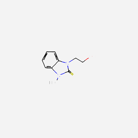 Cn1c(=S)n(CCO)c2ccccc21